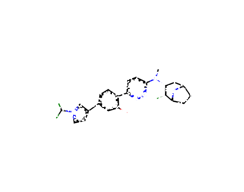 CN(c1ccc(-c2ccc(-c3ccn(C(F)F)c3)cc2O)nn1)[C@H]1CC2CCC(N2)[C@H]1F